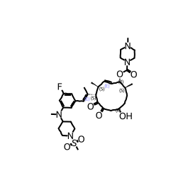 C/C(=C\c1cc(F)cc(N(C)C2CCN(S(C)(=O)=O)CC2)c1)[C@H]1C(=O)C(=O)C[C@H](O)CC[C@H](C)[C@@H](OC(=O)N2CCN(C)CC2)/C=C/[C@@H]1C